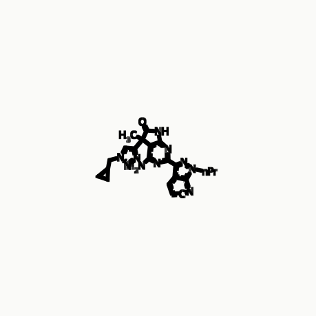 CCCn1nc(-c2nc(N)c3c(n2)NC(=O)C3(C)c2cn(CC3CC3)nn2)c2cccnc21